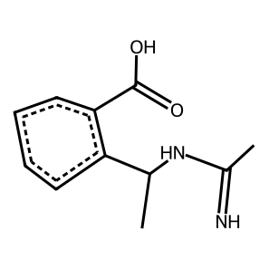 CC(=N)NC(C)c1ccccc1C(=O)O